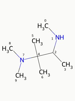 CNC(C)C(C)(C)N(C)C